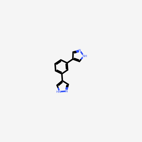 c1cc(-c2cn[nH]c2)cc(-c2cn[nH]c2)c1